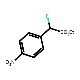 CCOC(=O)C(F)c1ccc([N+](=O)[O-])cc1